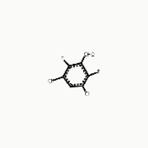 O=Cc1c(F)c(Cl)cc(Cl)c1F